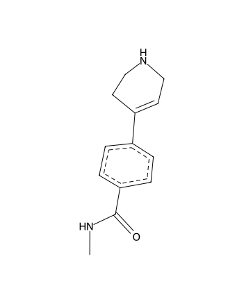 CNC(=O)c1ccc(C2=CCNCC2)cc1